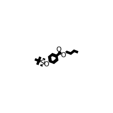 CCCCOC(=O)c1ccc(O[Si](C)(C)C(C)(C)C)cc1